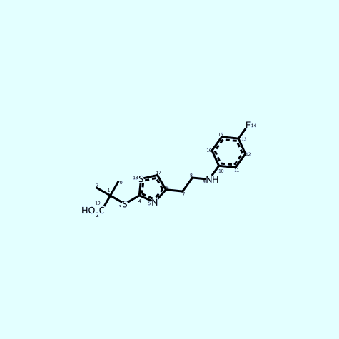 CC(C)(Sc1nc(CCNc2ccc(F)cc2)cs1)C(=O)O